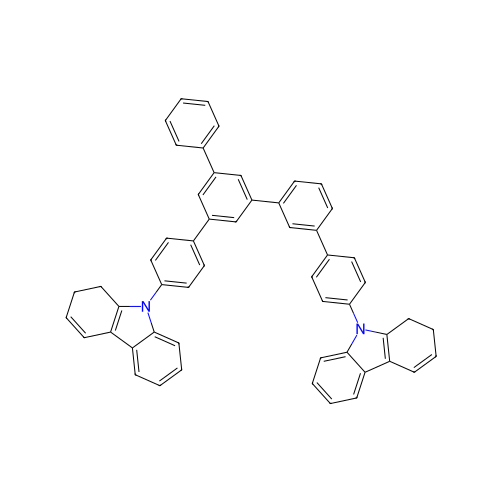 C1=Cc2c(n(-c3ccc(-c4cccc(-c5cc(-c6ccccc6)cc(-c6ccc(-n7c8c(c9ccccc97)C=CCC8)cc6)c5)c4)cc3)c3ccccc23)CC1